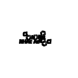 CC(=O)N=c1n(Cc2ccccc2Cl)c2ccccc2n1C1CCN(c2cc(Cl)ccc2NC(C)=O)CC1